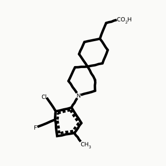 Cc1cc(F)c(Cl)c(N2CCC3(CCC(CC(=O)O)CC3)CC2)c1